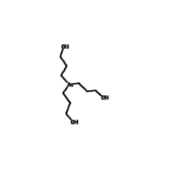 OCCC[As](CCCO)CCCO